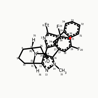 CCc1nc(C(=O)N2[C@@H]3CCC[C@H]2c2nn(C)c(-c4cc(F)cc(F)c4)c2C3)nn1-c1ccccc1